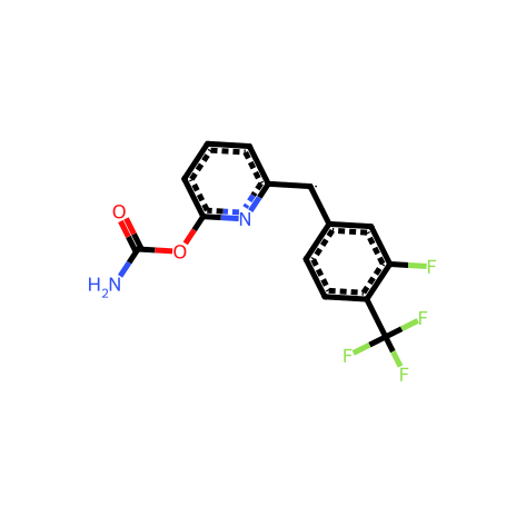 NC(=O)Oc1cccc([CH]c2ccc(C(F)(F)F)c(F)c2)n1